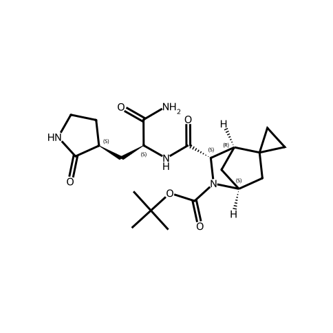 CC(C)(C)OC(=O)N1[C@H]2C[C@@H]([C@H]1C(=O)N[C@@H](C[C@@H]1CCNC1=O)C(N)=O)C1(CC1)C2